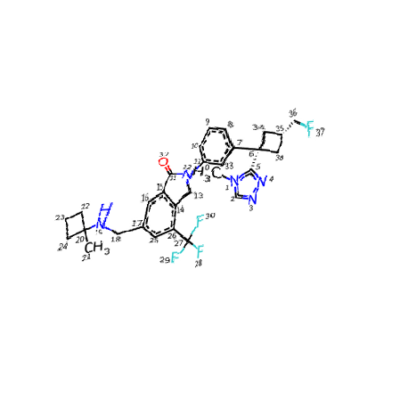 Cn1cnnc1[C@]1(c2cccc(N3Cc4c(cc(CNC5(C)CCC5)cc4C(F)(F)F)C3=O)c2)C[C@H](CF)C1